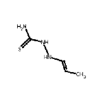 CC=CNNC(N)=S